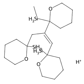 C[SiH2]C1(C(=CC2([SiH3])CCCCO2)CC2([SiH3])CCCCO2)CCCCO1.[H+]